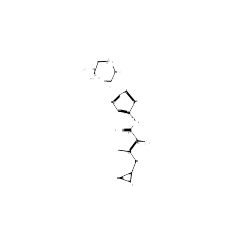 C/C(CC1CC1)=C(/N)C(=O)Nc1ccc([C@H]2CNC[C@@H](C)O2)cc1